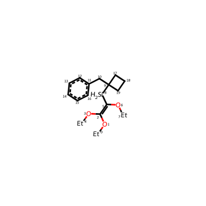 CCOC(OCC)=C(OCC)[SiH2]C1(Cc2ccccc2)CCC1